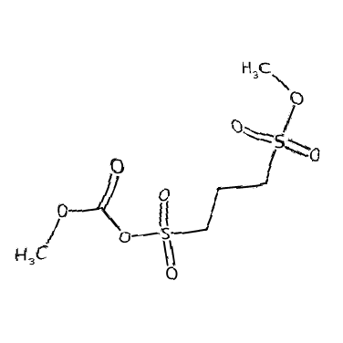 COC(=O)OS(=O)(=O)CCCS(=O)(=O)OC